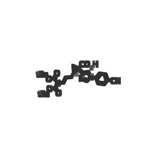 CC(C)(C)OC(=O)N(CCC[C@H]1CC1(C(=O)O)c1cn(-c2ccc(C#N)cc2)cn1)C(=O)OC(C)(C)C